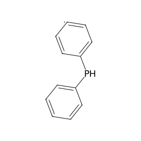 [c]1ccc(Pc2ccccc2)cc1